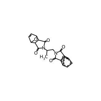 CC(CN1C(=O)c2c(c3ccc2o3)C1=O)N1C(=O)C2C3C=CC(O3)C2C1=O